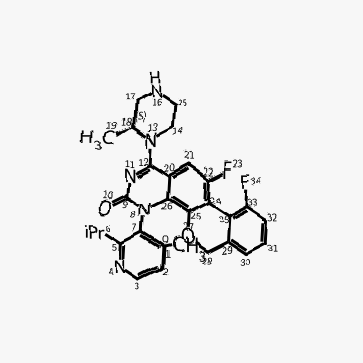 Cc1ccnc(C(C)C)c1-n1c(=O)nc(N2CCNC[C@@H]2C)c2cc(F)c3c(c21)OCc1cccc(F)c1-3